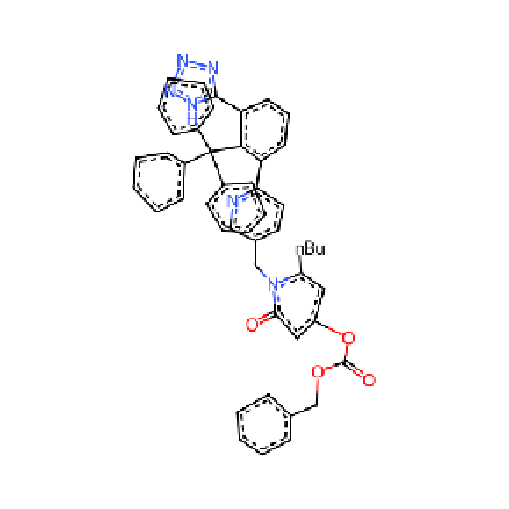 CCCCc1cc(OC(=O)OCc2ccccc2)cc(=O)n1Cc1ccc(-c2cccc(-c3nnn[nH]3)c2C(c2ccccc2)(c2ccccc2)c2ccccc2)nc1